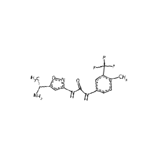 Cc1ccc(NC(=O)Nc2cc([C@@H](C)N)on2)cc1C(F)(F)F